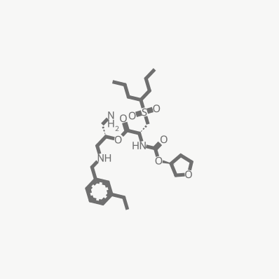 CCCC(CCC)S(=O)(=O)C[C@H](NC(=O)O[C@H]1CCOC1)C(=O)O[C@@H](CN)CNCc1cccc(CC)c1